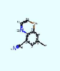 Cc1cc(C#N)c2c(c1)SC=C=N2